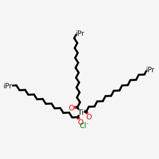 CC(C)CCCCCCCCCCCCCC[C](=O)[Ti+]([C](=O)CCCCCCCCCCCCCCC(C)C)[C](=O)CCCCCCCCCCCCCCC(C)C.[Cl-]